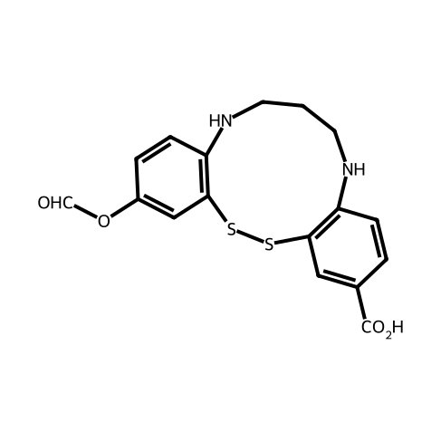 O=COc1ccc2c(c1)SSc1cc(C(=O)O)ccc1NCCCN2